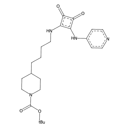 CC(C)(C)OC(=O)N1CCC(CCCCNc2c(Nc3ccncc3)c(=O)c2=O)CC1